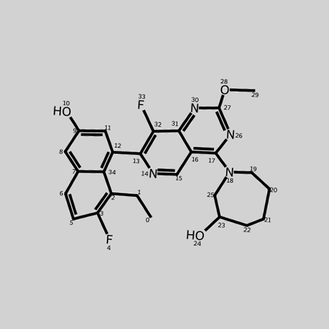 CCc1c(F)ccc2cc(O)cc(-c3ncc4c(N5CCCCC(O)C5)nc(OC)nc4c3F)c12